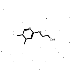 CC1C=NC(NCCO)=CC1C